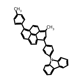 Cc1ccc(-c2ccc3ccc4c(-c5ccc(-n6c7ccccc7c7ccccc76)cc5)cc(C)c5ccc2c3c54)cc1